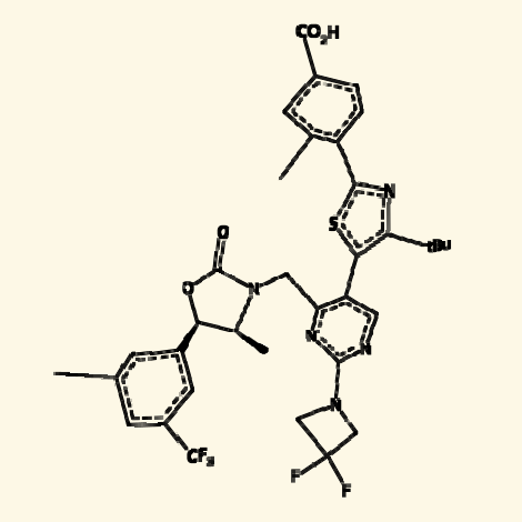 Cc1cc([C@H]2OC(=O)N(Cc3nc(N4CC(F)(F)C4)ncc3-c3sc(-c4ccc(C(=O)O)cc4C)nc3C(C)(C)C)[C@H]2C)cc(C(F)(F)F)c1